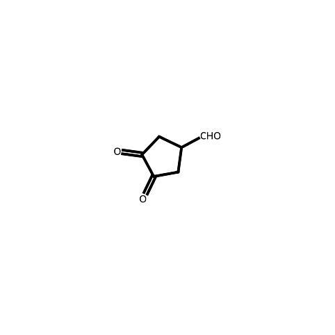 O=CC1CC(=O)C(=O)C1